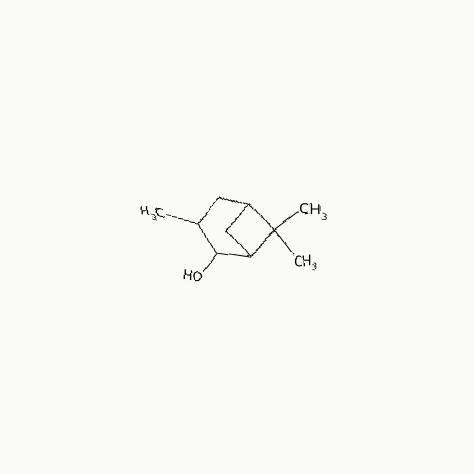 CC1CC2CC(C1O)C2(C)C